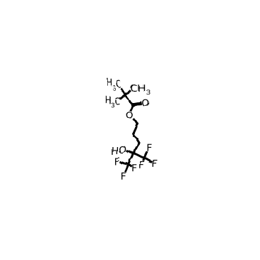 CC(C)(C)C(=O)OCCCC(O)(C(F)(F)F)C(F)(F)F